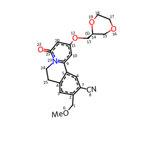 COCc1cc2c(cc1C#N)-c1cc(OC[C@@H]3COCCO3)cc(=O)n1CC2